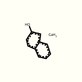 Oc1ccc2ccccc2c1.[GaH3]